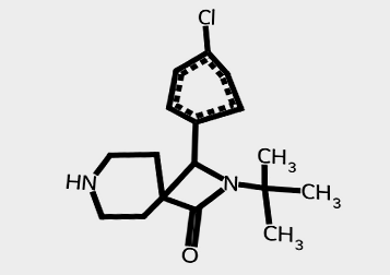 CC(C)(C)N1C(=O)C2(CCNCC2)C1c1ccc(Cl)cc1